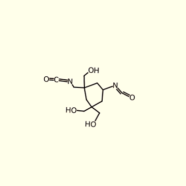 O=C=NCC1(CO)CC(N=C=O)CC(CO)(CO)C1